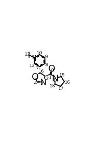 O=C([C@H]1N=CO[C@@H]1c1cccc(I)c1)N1CCCC1